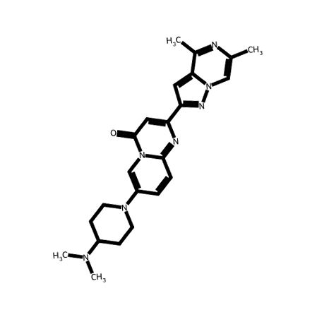 Cc1cn2nc(-c3cc(=O)n4cc(N5CCC(N(C)C)CC5)ccc4n3)cc2c(C)n1